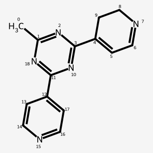 Cc1nc(C2=CC=NCC2)nc(-c2ccncc2)n1